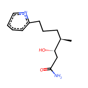 C[C@H](CCCc1ccccn1)[C@@H](O)CC(N)=O